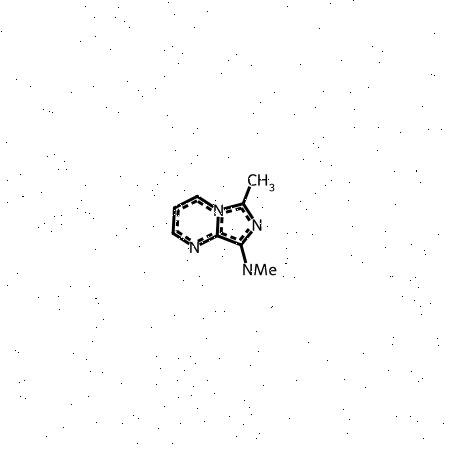 CNc1nc(C)n2cccnc12